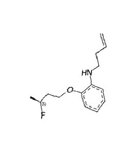 C=CCCNc1ccccc1OCC[C@H](C)F